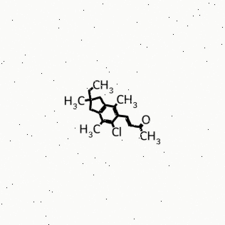 CCC1(C)Cc2c(C)c(Cl)c(C=CC(C)=O)c(C)c2C1